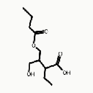 CCCC(=O)OCC(CO)C(CC)C(=O)O